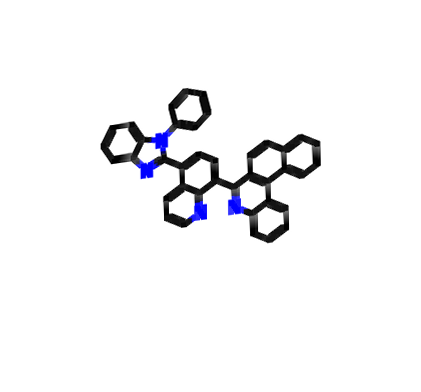 c1ccc(-n2c(-c3ccc(-c4nc5ccccc5c5c4ccc4ccccc45)c4ncccc34)nc3ccccc32)cc1